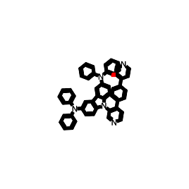 c1ccc(N(c2ccccc2)c2ccc3c(c2)c2cc(N(c4ccccc4)c4ccccc4)ccc2n3-c2cnccc2-c2ccc(-c3ccncc3)cc2)cc1